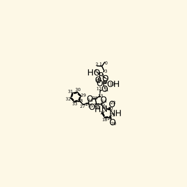 CC(C)CP(=O)(O)OP(=O)(O)OC[C@H]1O[C@@H](n2ccc(=O)[nH]c2=O)[C@H]2OC(Cc3ccccc3)OC12